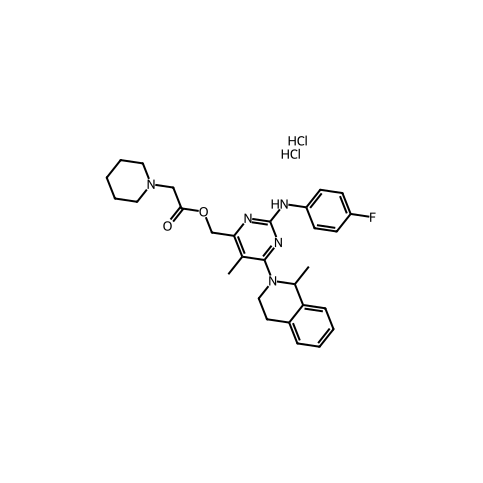 Cc1c(COC(=O)CN2CCCCC2)nc(Nc2ccc(F)cc2)nc1N1CCc2ccccc2C1C.Cl.Cl